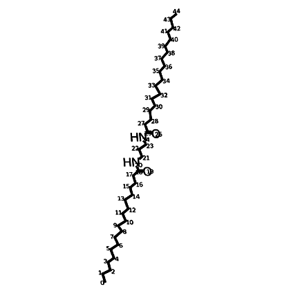 CCCCCCCCCCCCCCCCCCC(=O)NCCCNC(=O)CCCCCCCCCCCCCCCCCC